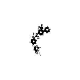 Nc1cc(Oc2ccc(NC(=O)Nc3ccc(-c4ccncc4)c(C(F)(F)F)c3)cc2)ncn1